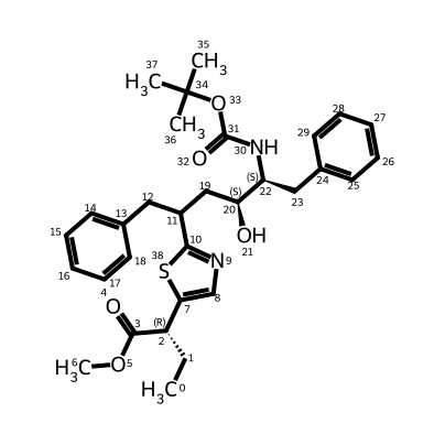 CC[C@H](C(=O)OC)c1cnc(C(Cc2ccccc2)C[C@H](O)[C@H](Cc2ccccc2)NC(=O)OC(C)(C)C)s1